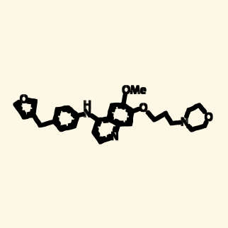 COc1cc2c(Nc3ccc(Cc4ccoc4)cc3)ccnc2cc1OCCCN1CCOCC1